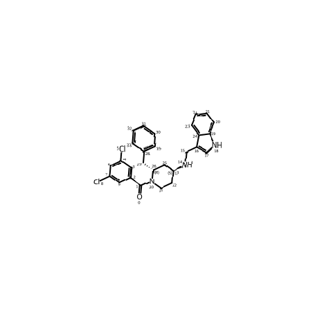 O=C(c1cc(Cl)cc(Cl)c1)N1CC[C@H](NCc2c[nH]c3ccccc23)C[C@H]1Cc1ccccc1